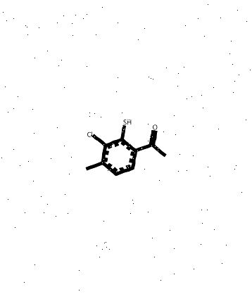 CC(=O)c1ccc(C)c(Cl)c1S